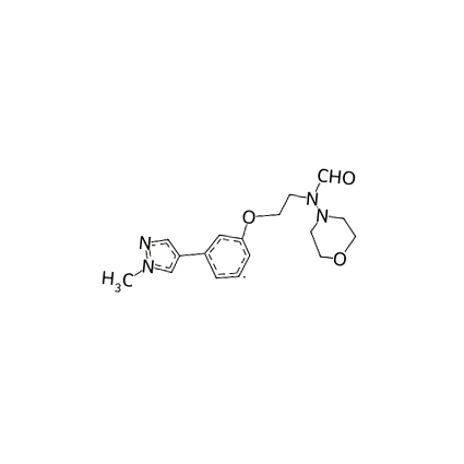 Cn1cc(-c2c[c]cc(OCCN(C=O)N3CCOCC3)c2)cn1